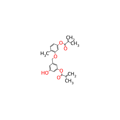 C=C(C)C(=O)Oc1cc(O)cc(COc2cc(OC(=O)C(=C)C)ccc2C)c1